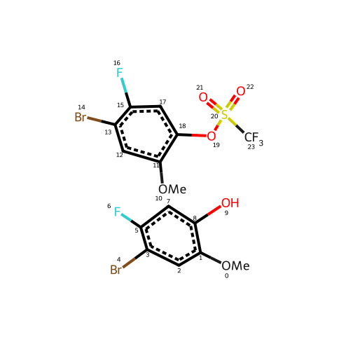 COc1cc(Br)c(F)cc1O.COc1cc(Br)c(F)cc1OS(=O)(=O)C(F)(F)F